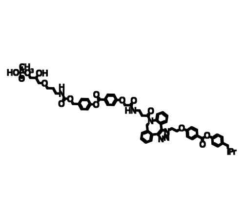 CC(C)Cc1ccc(OC(=O)c2ccc(OCCn3nnc4c3-c3ccccc3N(C(=O)CCNC(=O)COc3ccc(C(=O)Oc5ccc(COC(=O)NCCCOCC(O)COP(C)(=O)O)cc5)cc3)Cc3ccccc3-4)cc2)cc1